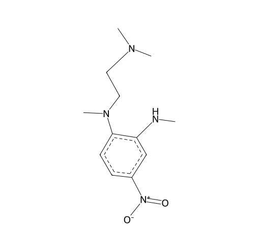 CNc1cc([N+](=O)[O-])ccc1N(C)CCN(C)C